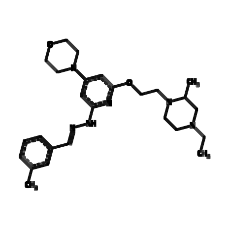 CCN1CCN(CCOc2cc(N3CCOCC3)cc(NN=Cc3cccc(C)c3)n2)C(C)C1